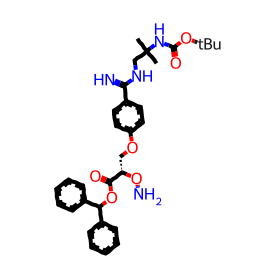 CC(C)(CNC(=N)c1ccc(OC[C@H](ON)C(=O)OC(c2ccccc2)c2ccccc2)cc1)NC(=O)OC(C)(C)C